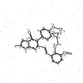 COc1cccc(C=Cc2nc3sc(C)cn3c(=O)c2-c2ccc(OC(F)(F)F)cc2)c1OCC1CC1